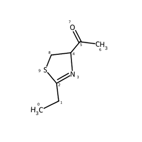 CCC1=NC(C(C)=O)CS1